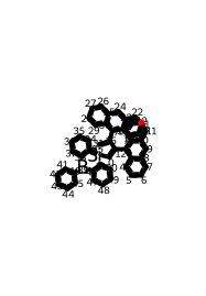 C1=C(c2c3ccccc3cc3ccccc23)C(c2c3ccccc3cc3ccccc23)=C[Si]12c1ccccc1B(c1ccccc1)c1ccccc12